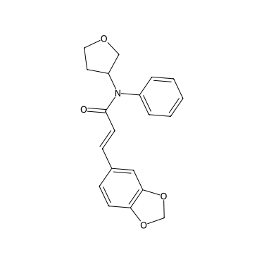 O=C(C=Cc1ccc2c(c1)OCO2)N(c1ccccc1)C1CCOC1